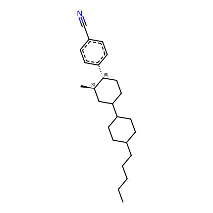 CCCCCC1CCC(C2CC[C@@H](c3ccc(C#N)cc3)[C@H](C)C2)CC1